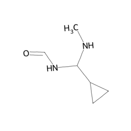 CNC(NC=O)C1CC1